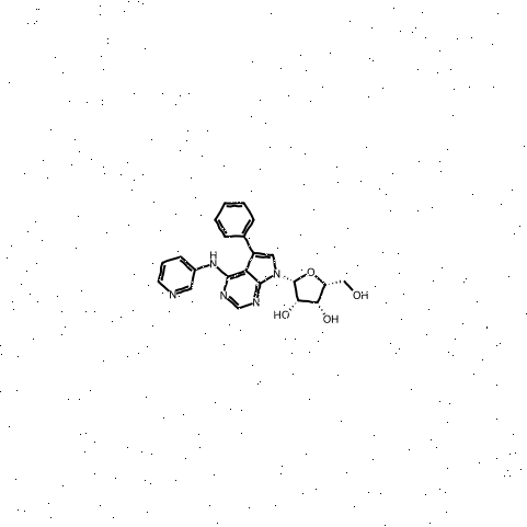 OC[C@H]1O[C@@H](n2cc(-c3ccccc3)c3c(Nc4cccnc4)ncnc32)[C@@H](O)[C@H]1O